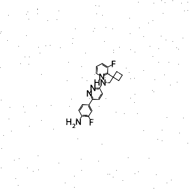 Nc1ccc(-c2ccc(NCC3(c4ncccc4F)CCC3)nn2)cc1F